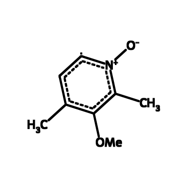 COc1c(C)c[c][n+]([O-])c1C